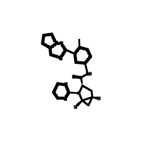 Cc1ccc(NC(=O)[C@@H]2C[C@@H]3C[C@@H]3N2c2ncccn2)cc1-c1ncc2cccn2n1